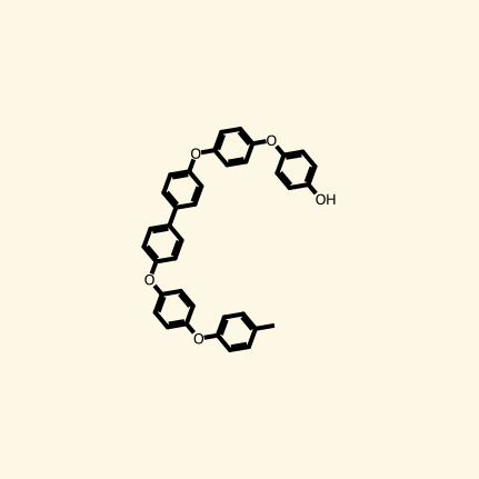 Cc1ccc(Oc2ccc(Oc3ccc(-c4ccc(Oc5ccc(Oc6ccc(O)cc6)cc5)cc4)cc3)cc2)cc1